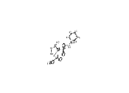 CC1CC[C@@H](C(=O)O)N1C(=O)OCc1ccccc1